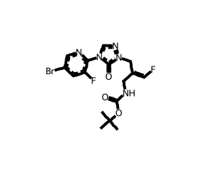 CC(C)(C)OC(=O)NC/C(=C/F)Cn1ncn(-c2ncc(Br)cc2F)c1=O